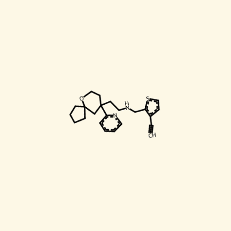 C#Cc1ccsc1CNCCC1(c2ccccn2)CCOC2(CCCC2)C1